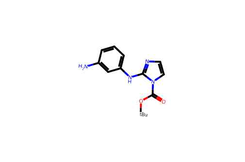 CC(C)(C)OC(=O)n1ccnc1Nc1cccc(N)c1